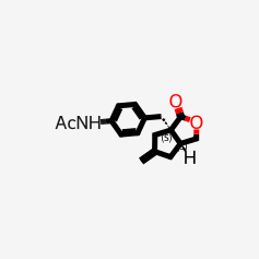 C=C1C[C@@H]2COC(=O)[C@]2(Cc2ccc(NC(C)=O)cc2)C1